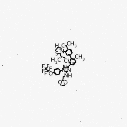 CCC(C)C1SCCCN1c1cc(-c2cc(-c3nc(NCC4OCCO4)n(-c4ccc(OC(F)(F)C(F)(F)F)cc4)n3)ccc2C)ccc1C(C)C